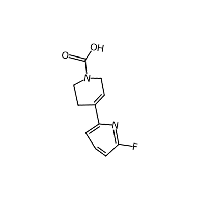 O=C(O)N1CC=C(c2cccc(F)n2)CC1